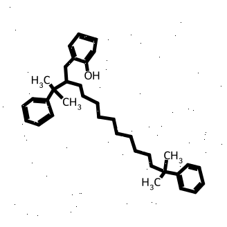 CC(C)(CCCCCCCCCCC(Cc1ccccc1O)C(C)(C)c1ccccc1)c1ccccc1